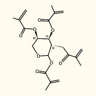 C=C(C)C(=O)C[C@@H]1C(OC(=O)C(=C)C)OC[C@@H](OC(=O)C(=C)C)[C@H]1OC(=O)C(=C)C